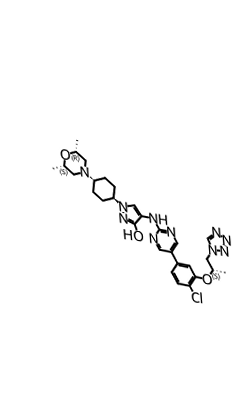 C[C@@H]1CN([C@H]2CC[C@H](n3cc(Nc4ncc(-c5ccc(Cl)c(O[C@@H](C)Cn6cnnn6)c5)cn4)c(O)n3)CC2)C[C@H](C)O1